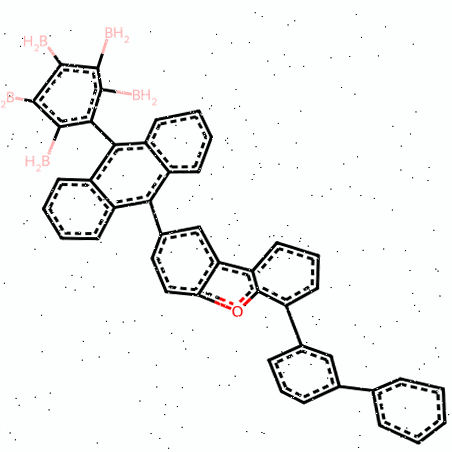 Bc1c(B)c(B)c(-c2c3ccccc3c(-c3ccc4oc5c(-c6cccc(-c7ccccc7)c6)cccc5c4c3)c3ccccc23)c(B)c1B